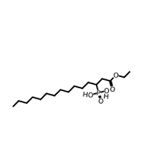 CCCCCCCCCCCCC(CC(=O)OCC)P(=O)(O)O